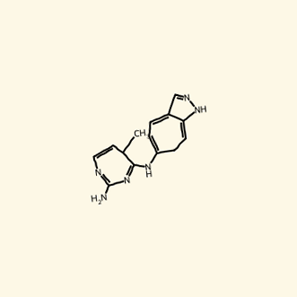 CC1C=CN=C(N)N=C1NC1=CC=c2cn[nH]c2=CC1